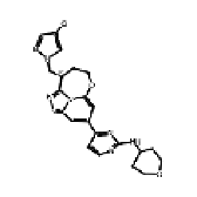 Clc1cnn(C[C@H]2CCOc3cc(-c4ccnc(NC5CCOCC5)n4)cc4nnc2n34)c1